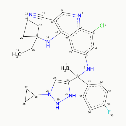 BC(Nc1cc(Cl)c2ncc(C#N)c(NC3(CC)CCC3)c2c1)(C1=CN(C2CC2)NN1)c1ccc(F)cc1